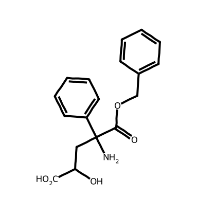 NC(CC(O)C(=O)O)(C(=O)OCc1ccccc1)c1ccccc1